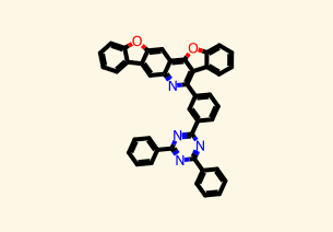 c1ccc(-c2nc(-c3ccccc3)nc(-c3cccc(-c4nc5cc6c(cc5c5oc7ccccc7c45)oc4ccccc46)c3)n2)cc1